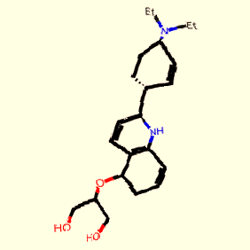 CCN(CC)[C@@H]1C=C[C@H]([C@@H]2C=CC3=C(C=CCC3OC(CO)CO)N2)CC1